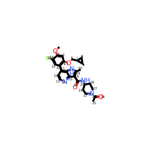 COc1cc(OCC2CC2)c(-c2ccnc3c(C(=O)NC4CCN(C(C)=O)CC4)c(C)[nH]c23)cc1F